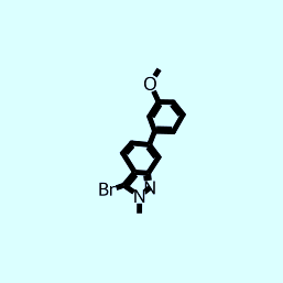 COc1cccc(-c2ccc3c(Br)n(C)nc3c2)c1